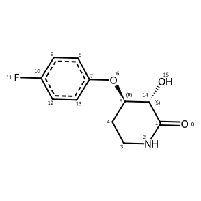 O=C1NCC[C@@H](Oc2ccc(F)cc2)[C@@H]1O